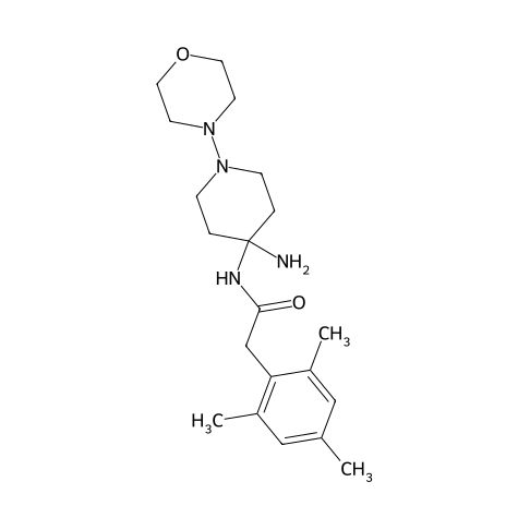 Cc1cc(C)c(CC(=O)NC2(N)CCN(N3CCOCC3)CC2)c(C)c1